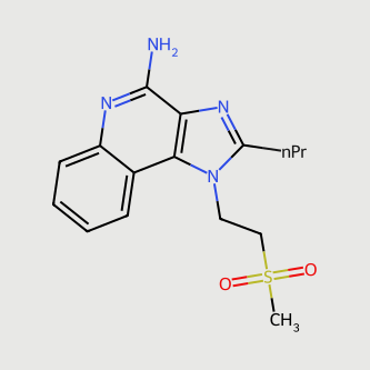 CCCc1nc2c(N)nc3ccccc3c2n1CCS(C)(=O)=O